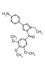 CCn1cc(-c2ccc(N)cc2)cc1C(=O)c1cc(OC)c(OC)c(OC)c1